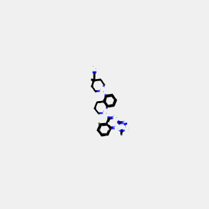 Cc1nnc2nc(N3CCCc4c(N5CCC(C)(C#N)CC5)cccc43)c3c(F)cccc3n12